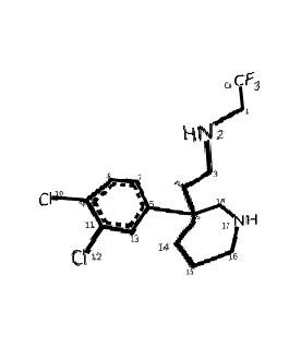 FC(F)(F)CNCCC1(c2ccc(Cl)c(Cl)c2)CCCNC1